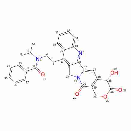 CC(C)N(CCc1c2c(nc3ccccc13)-c1cc3c(c(=O)n1C2)COC(=O)[C@H]3O)C(=O)c1ccccc1